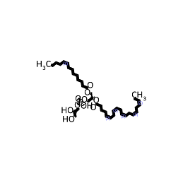 CC/C=C\C/C=C\C/C=C\C/C=C\C/C=C\CCCC(=O)O[C@H](COC(=O)CCCCCCC/C=C\CCCC)COP(=O)(O)OC[C@@H](O)CO